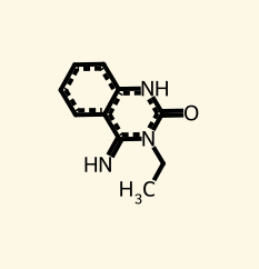 CCn1c(=O)[nH]c2ccccc2c1=N